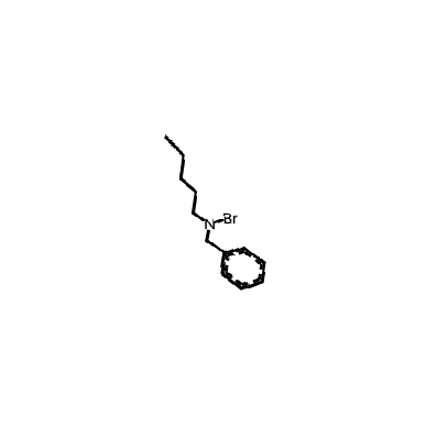 CCCCCN(Br)Cc1ccccc1